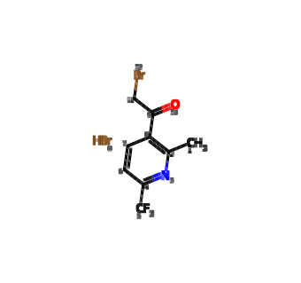 Br.Cc1nc(C(F)(F)F)ccc1C(=O)CBr